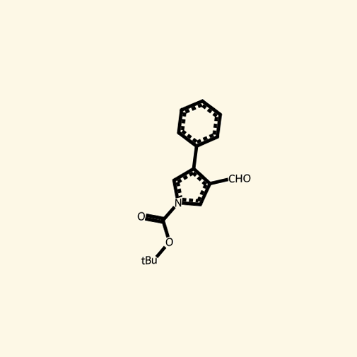 CC(C)(C)OC(=O)n1cc(C=O)c(-c2ccccc2)c1